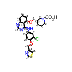 O=C(O)N1CCC[C@H](COc2cccc3ncnc(Nc4ccc(OCc5cscn5)c(Cl)c4)c23)C1